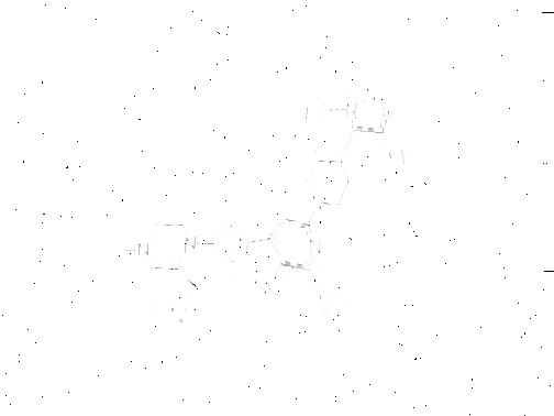 Cc1cnn(C)c1C1CCN(c2cc(N3CC(N4CCNC[C@@H]4CO)C3)c(C#N)c(C(F)(F)F)n2)CC1